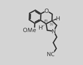 COc1cccc2c1[C@@H]1CN(CCCC#N)C[C@H]1CO2